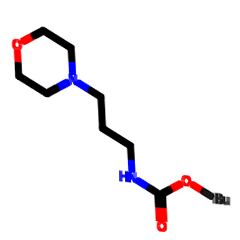 CCC(C)OC(=O)NCCCN1CCOCC1